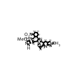 COc1n[nH]cc1NCc1c(-c2nc(-c3cc4cn(C)nc4nc3C3CC3)n(C)c2C2CC2)cccc1[N+](=O)[O-]